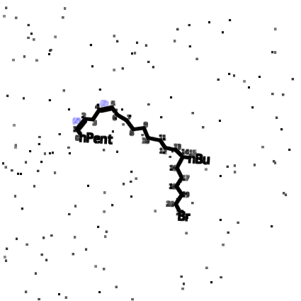 CCCCC/C=C\C/C=C\CCCCCCCCC(CCCC)CCCCCBr